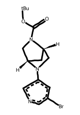 CC(C)(C)OC(=O)N1C[C@@H]2C[C@H]1CN2c1cncc(Br)c1